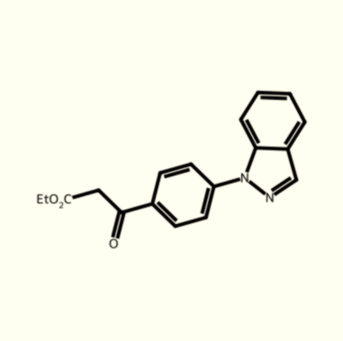 CCOC(=O)CC(=O)c1ccc(-n2ncc3ccccc32)cc1